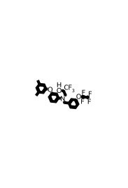 Cc1cc(C)cc(Oc2cccc(N(Cc3cccc(OC(F)(F)C(F)F)c3)CC(O)C(F)(F)F)c2)c1